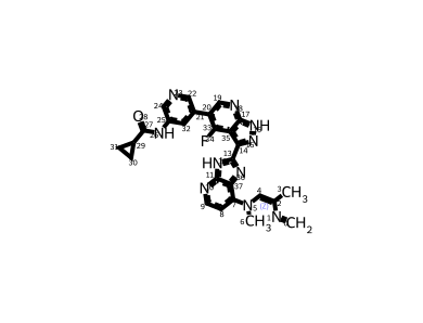 C=N/C(C)=C\N(C)c1ccnc2[nH]c(-c3n[nH]c4ncc(-c5cncc(NC(=O)C6CC6)c5)c(F)c34)nc12